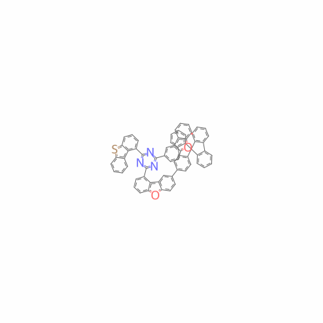 c1ccc2c(c1)-c1ccccc1C21c2ccccc2-c2cc(-c3ccc4oc5cccc(-c6nc(-c7ccc8oc9ccccc9c8c7)nc(-c7cccc8sc9ccccc9c78)n6)c5c4c3)ccc21